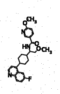 COCC(NC(=O)c1ccc(OC)nc1)C1CCC(c2ccnc3ccc(F)cc23)CC1